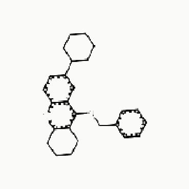 c1ccc(CNc2c3c(nc4ccc(C5CCCCC5)cc24)CCCC3)cc1